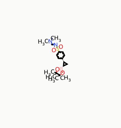 CN(C)C=NS(=O)(=O)c1ccc([C@@H]2C[C@H]2B2OC(C)(C)C(C)(C)O2)cc1